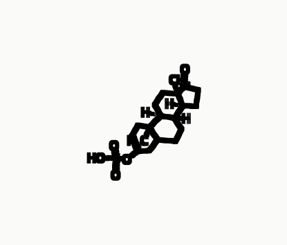 C[C@]12CC=C(OS(=O)(=O)O)CC1CC[C@@H]1[C@@H]2CC[C@]2(C)C(=O)CC[C@@H]12